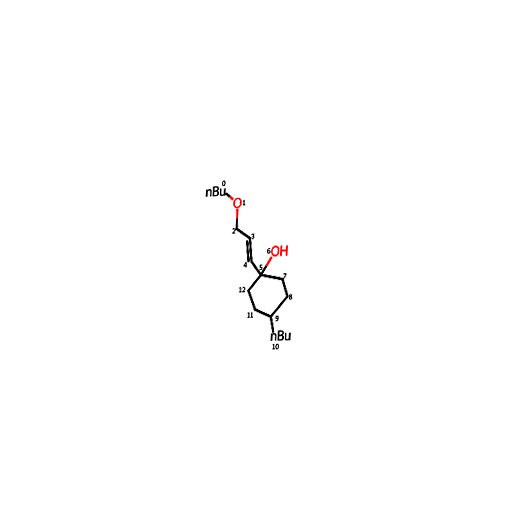 CCCCOCC=CC1(O)CCC(CCCC)CC1